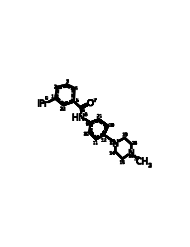 CC(C)c1cccc(C(=O)Nc2ccc(N3CCN(C)CC3)cc2)c1